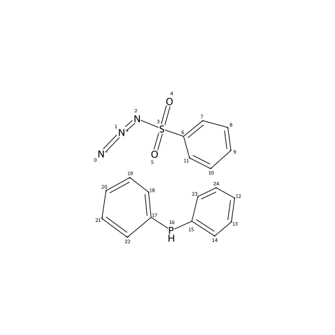 [N-]=[N+]=NS(=O)(=O)c1ccccc1.c1ccc(Pc2ccccc2)cc1